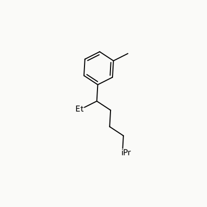 CCC(CCCC(C)C)c1cccc(C)c1